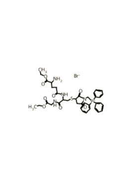 CCOC(=O)CNC(=O)C(CSC1CC(=O)N(C[P+](c2ccccc2)(c2ccccc2)c2ccccc2)C1=O)NC(=O)CCC(N)C(=O)OCC.[Br-]